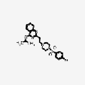 CC(C)Oc1nc(CCN2CCN(S(=O)(=O)c3ccc(Br)cc3)CC2)nc2ccccc12